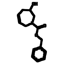 O=C(OCc1ccccc1)N1CC=CCC(O)C1